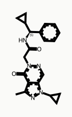 Cc1nn(C2CC2)c2cnn(CC(=O)N[C@H](c3ccccc3)C3CC3)c(=O)c12